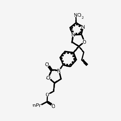 C=CCC1(c2ccc(N3CC(COC(=O)CCC)OC3=O)cc2)Cn2cc([N+](=O)[O-])nc2O1